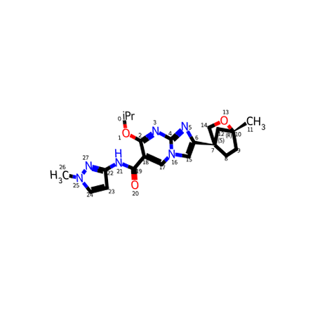 CC(C)Oc1nc2nc([C@]34CC[C@](C)(C3)OC4)cn2cc1C(=O)Nc1ccn(C)n1